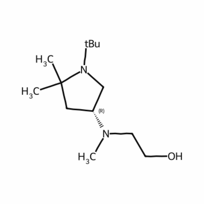 CN(CCO)[C@H]1CN(C(C)(C)C)C(C)(C)C1